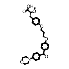 CO[C@@H](Cc1ccc(OCCCOc2ccc(C(=O)c3ccc(N4CCOCC4)cc3)cc2)cc1)C(=O)O